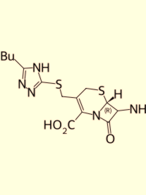 CCCCc1nnc(SCC2=C(C(=O)O)N3C(=O)C(N)[C@H]3SC2)[nH]1